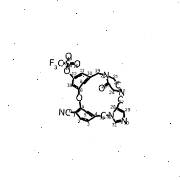 N#Cc1ccc2cc1Oc1cc(cc(OS(=O)(=O)C(F)(F)F)c1)CN1CCN(CC1=O)Cc1cncn1C2